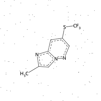 Cc1cn2ncc(SC(F)(F)F)cc2n1